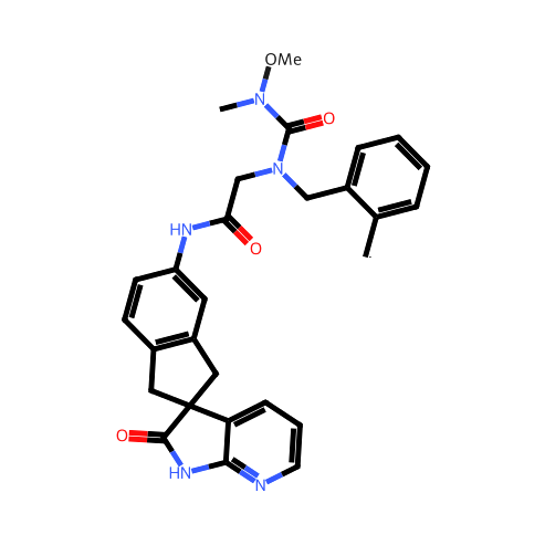 [CH2]c1ccccc1CN(CC(=O)Nc1ccc2c(c1)CC1(C2)C(=O)Nc2ncccc21)C(=O)N(C)OC